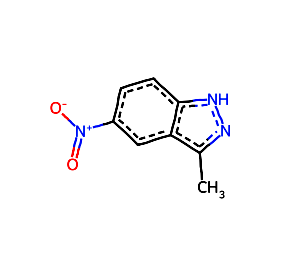 Cc1n[nH]c2ccc([N+](=O)[O-])cc12